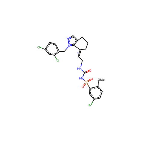 COc1ccc(Br)cc1S(=O)(=O)NC(=O)NC/C=C1\CCCc2cnn(Cc3ccc(Cl)cc3Cl)c21